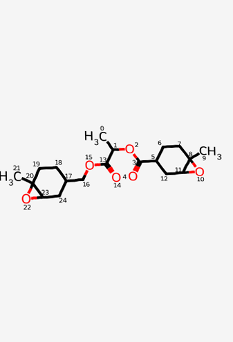 CC(OC(=O)C1CCC2(C)OC2C1)C(=O)OCC1CCC2(C)OC2C1